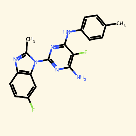 Cc1ccc(Nc2nc(-n3c(C)nc4ccc(F)cc43)nc(N)c2F)cc1